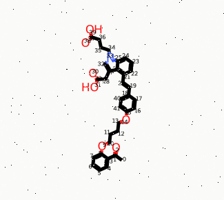 CC(=O)c1ccccc1OCCCCOc1ccc(/C=C/c2cccc3c2c(CC(=O)O)cn3CCCC(=O)O)cc1